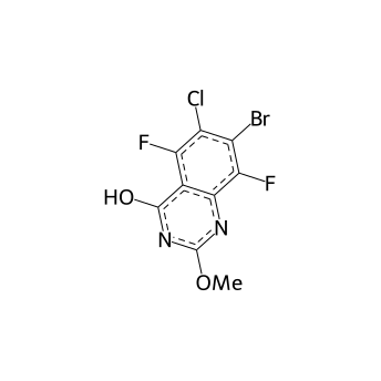 COc1nc(O)c2c(F)c(Cl)c(Br)c(F)c2n1